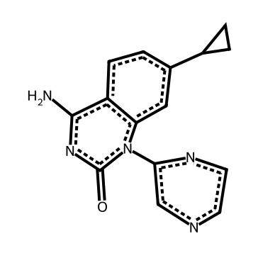 Nc1nc(=O)n(-c2cnccn2)c2cc(C3CC3)ccc12